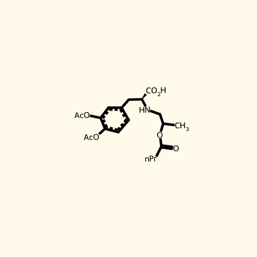 CCCC(=O)OC(C)CN[C@@H](Cc1ccc(OC(C)=O)c(OC(C)=O)c1)C(=O)O